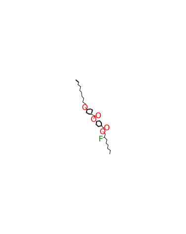 C=CCCCCCCCCOc1ccc(C(=O)Oc2ccc(C(=O)OCC(F)CCCCCC)cc2)cc1